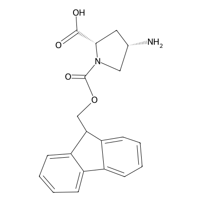 N[C@H]1C[C@@H](C(=O)O)N(C(=O)OCC2c3ccccc3-c3ccccc32)C1